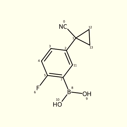 N#CC1(c2ccc(F)c(B(O)O)c2)CC1